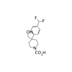 O=C(O)N1CCC(CO)(c2ccc(C(F)F)cc2)CC1